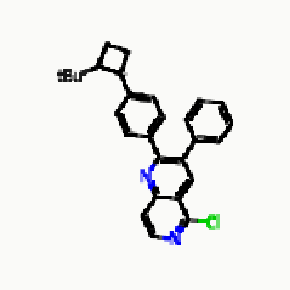 CC(C)(C)C1CC[C]1c1ccc(-c2nc3ccnc(Cl)c3cc2-c2ccccc2)cc1